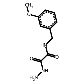 COc1cccc(CNC(=O)C(=O)NN)c1